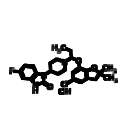 CCC(Oc1cc(Cl)cc2c1OC(C)(C)C2)N1CCC(n2c(=O)[nH]c3cc(F)ccc32)CC1.Cl